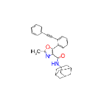 Cc1nc(C(=O)NC23CC4CC(CC(C4)C2)C3)c(-c2ccccc2C#Cc2ccccc2)o1